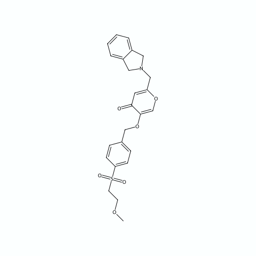 COCCS(=O)(=O)c1ccc(COc2coc(CN3Cc4ccccc4C3)cc2=O)cc1